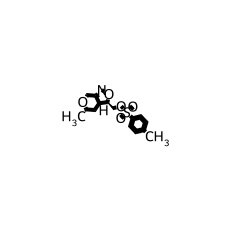 Cc1ccc(S(=O)(=O)OC[C@@H]2ON=C3CO[C@@H](C)C[C@H]32)cc1